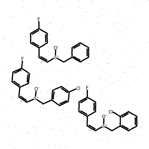 [O-][S+](/C=C\c1ccc(F)cc1)Cc1ccc(Cl)cc1.[O-][S+](/C=C\c1ccc(F)cc1)Cc1ccccc1.[O-][S+](/C=C\c1ccc(F)cc1)Cc1ccccc1Cl